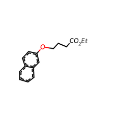 CCOC(=O)CCCOc1ccc2ccccc2c1